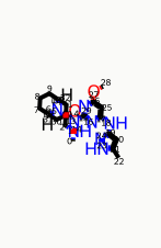 CNCC(=O)N1[C@@H]2CCC[C@H]1C[C@H](N(C)c1nc(Nc3cc(C)[nH]n3)cc(OC)n1)C2